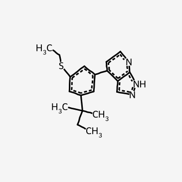 CCSc1cc(-c2ccnc3[nH]ncc23)cc(C(C)(C)CC)c1